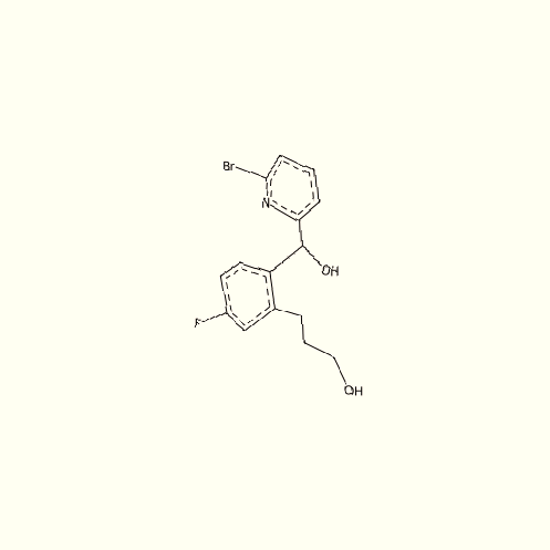 OCCCc1cc(F)ccc1C(O)c1cccc(Br)n1